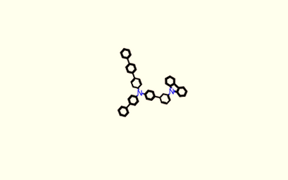 C1=CC(c2ccc(N(c3ccc(-c4ccccc4)cc3)C3C=CC(c4ccc(-c5ccccc5)cc4)=CC3)cc2)CC(n2c3ccccc3c3ccccc32)=C1